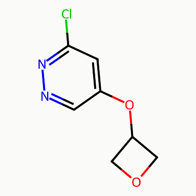 Clc1cc(OC2COC2)cnn1